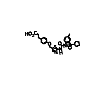 Cc1ccc(NC(=O)Nc2ncc(COc3ccc(CCC(=O)O)cc3)s2)c(C(=O)C2CCCC2)c1